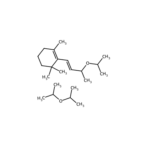 CC(C)OC(C)C.CC1=C(C=CC(C)OC(C)C)C(C)(C)CCC1